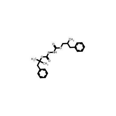 CC(COC(=O)N[N]C(=O)OC(C)(C)Cc1ccccc1)Cc1ccccc1